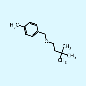 Cc1ccc(COCCC(C)(C)C)cc1